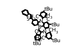 Cc1cc(C(C)(C)C)cc(C)c1N1c2cc(-c3cc4ccccc4s3)ccc2B2c3oc4ccc(C(C)(C)C)cc4c3N(c3c(C)cc(C(C)(C)C)cc3C)c3cc(C(C)(C)C)cc1c32